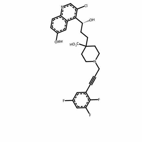 COc1ccc2ncc(Cl)c([C@H](O)CCC3(C(=O)O)CCN(CC#Cc4cc(F)cc(F)c4F)CC3)c2c1